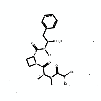 CC[C@H](C)[C@H](N)C(=O)N(C)[C@@H](C)C(=O)N1CC[C@H]1C(=O)N(CC)[C@@H](Cc1ccccc1)C(=O)O